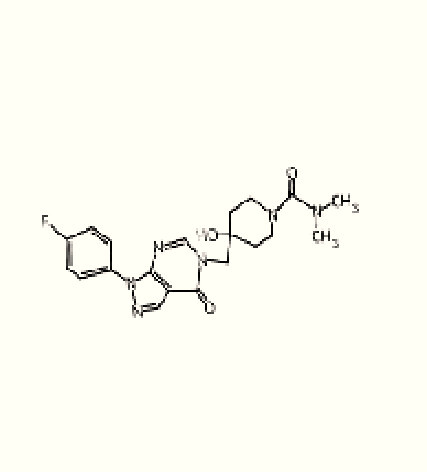 CN(C)C(=O)N1CCC(O)(Cn2cnc3c(cnn3-c3ccc(F)cc3)c2=O)CC1